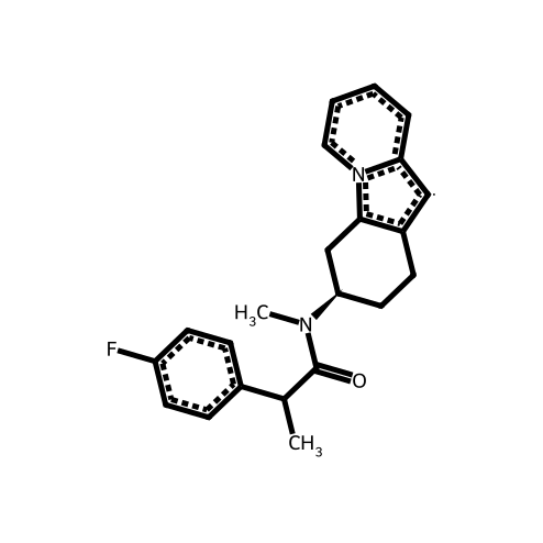 CC(C(=O)N(C)[C@@H]1CCc2[c]c3ccccn3c2C1)c1ccc(F)cc1